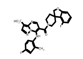 Cc1cc(F)ccc1Nc1c(C(=O)N2CCC3(CC2)COc2cccc(F)c23)cnc2c(C(=O)O)cnn12